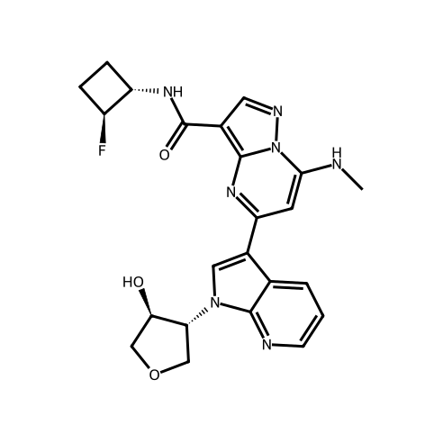 CNc1cc(-c2cn([C@@H]3COC[C@H]3O)c3ncccc23)nc2c(C(=O)N[C@H]3CC[C@@H]3F)cnn12